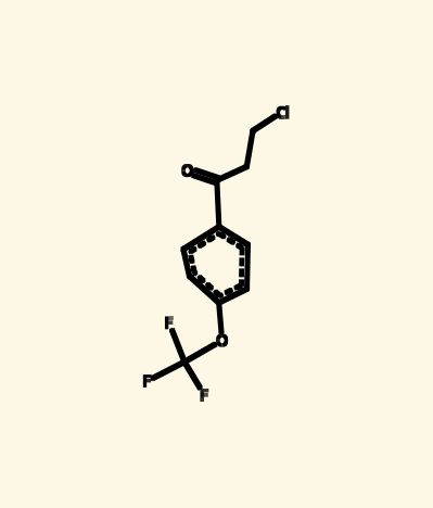 O=C(CCCl)c1ccc(OC(F)(F)F)cc1